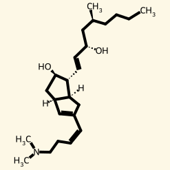 CCCC[C@H](C)C[C@H](O)/C=C/[C@@H]1[C@H]2CC(/C=C\CCN(C)C)=C[C@H]2C[C@H]1O